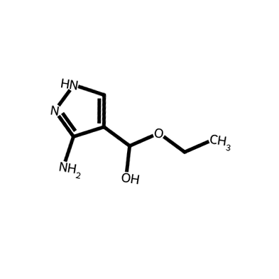 CCOC(O)c1c[nH]nc1N